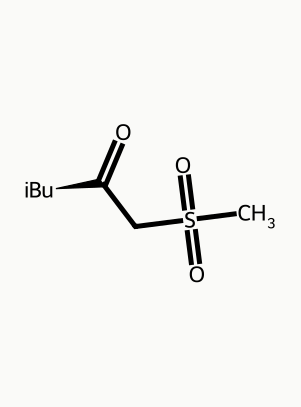 CC[C@H](C)C(=O)CS(C)(=O)=O